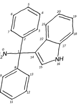 NC(c1ccccc1)(c1ccccc1)c1c[nH]c2ccccc12